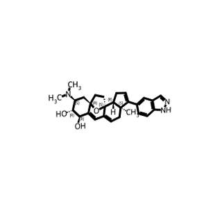 CN(C)[C@H]1C[C@@]23CC[C@@]4(O2)C(=CC[C@]2(C)C(c5ccc6[nH]ncc6c5)=CC[C@H]24)C=C3[C@@H](O)[C@@H]1O